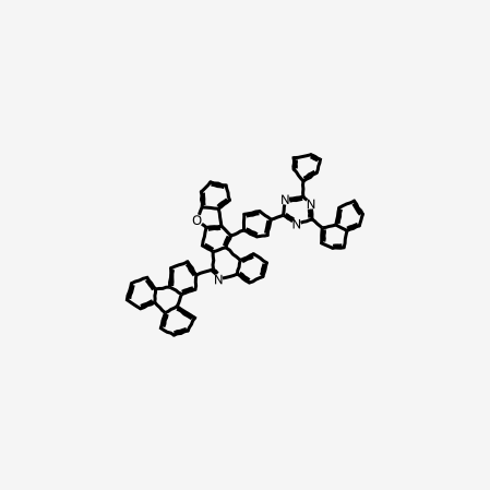 c1ccc(-c2nc(-c3ccc(-c4c5c(cc6c(-c7ccc8c9ccccc9c9ccccc9c8c7)nc7ccccc7c46)oc4ccccc45)cc3)nc(-c3cccc4ccccc34)n2)cc1